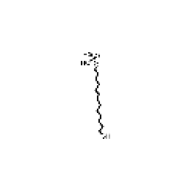 O=P(O)(O)OCCCCCCCCCCCCCS